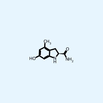 Cc1cc(O)cc2c1C[C@@H](C(N)=O)N2